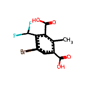 Cc1c(C(=O)O)cc(Br)c(C(F)F)c1C(=O)O